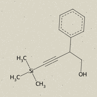 C[Si](C)(C)C#CC(CO)c1ccccc1